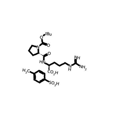 CC(C)(C)OC(=O)N1CCC[C@H]1C(=O)N[C@@H](CCCNC(=N)N)C(=O)O.Cc1ccc(S(=O)(=O)O)cc1